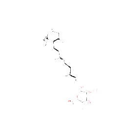 CC1=C(/C=C/C(C)=C/C=C/C(C)=C/COC2O[C@H](CO)[C@@H](C)[C@H](O)[C@H]2O)C(C)(C)CCC1